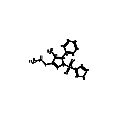 CNCc1cn(S(=O)(=O)c2ccsc2)c(-c2ccccc2)c1C